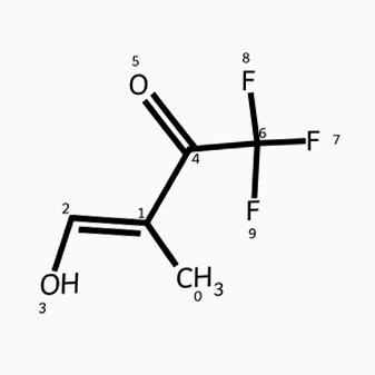 C/C(=C\O)C(=O)C(F)(F)F